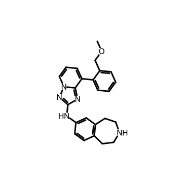 COCc1ccccc1-c1cccn2nc(Nc3ccc4c(c3)CCNCC4)nc12